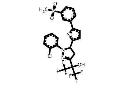 CS(=O)(=O)c1cccc(-c2ccc(C3CC(C(O)(C(F)(F)F)C(F)(F)F)=NN3c3ccccc3Cl)s2)c1